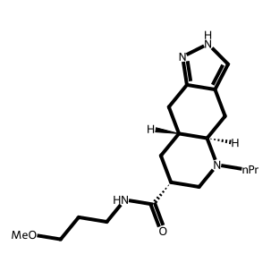 CCCN1C[C@H](C(=O)NCCCOC)C[C@@H]2Cc3n[nH]cc3C[C@H]21